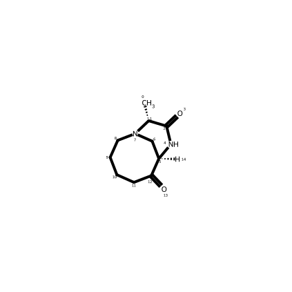 C[C@@H]1C(=O)N[C@@H]2CN1CCCCC2=O